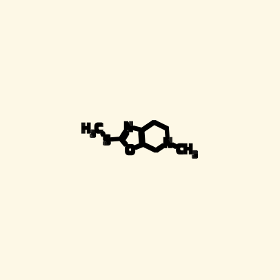 CSc1nc2c(o1)CN(C)CC2